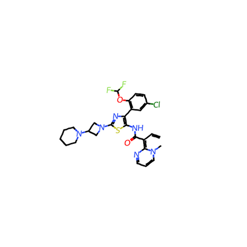 C=C/C(C(=O)Nc1sc(N2CC(N3CCCCC3)C2)nc1-c1cc(Cl)ccc1OC(F)F)=C1/N=CC=CN1C